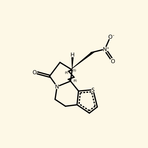 O=C1C[C@H]2[C@H](C[N+](=O)[O-])CC[C@]23c2sccc2CCN13